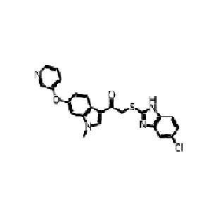 Cn1cc(C(=O)CSc2nc3cc(Cl)ccc3[nH]2)c2ccc(Oc3cccnc3)cc21